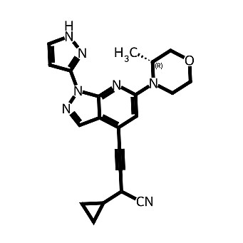 C[C@@H]1COCCN1c1cc(C#CC(C#N)C2CC2)c2cnn(-c3cc[nH]n3)c2n1